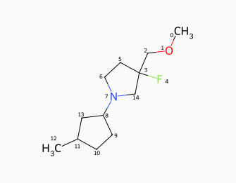 COCC1(F)CCN(C2CCC(C)C2)C1